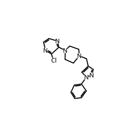 Clc1nccnc1N1CCN(Cc2cnn(-c3ccccc3)c2)CC1